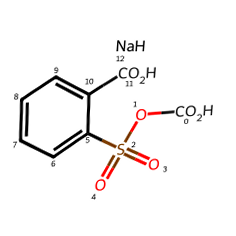 O=C(O)OS(=O)(=O)c1ccccc1C(=O)O.[NaH]